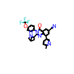 Cc1ccc(-c2cc(C#N)cc3c(=O)n(-c4ccc(OC(F)(F)F)cc4)c(C45CC(CN4)C5)nc23)cn1